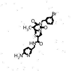 Cc1c(=O)n(Cc2cccc(Br)c2)c(=O)n2cc(C(=O)NCc3ccc(N)nc3)sc12